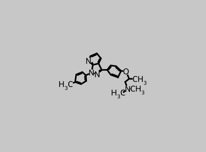 Cc1ccc(-n2nc(-c3ccc(OC(C)CN(C)C)cc3)c3cccnc32)cc1